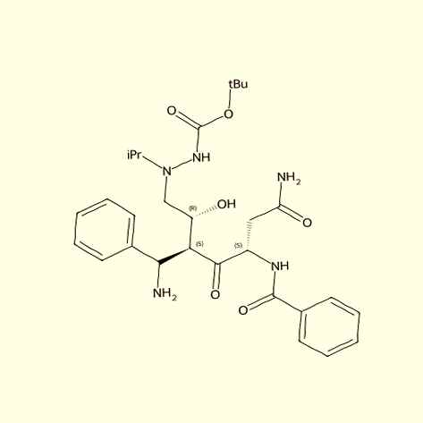 CC(C)N(C[C@H](O)[C@@H](C(=O)[C@H](CC(N)=O)NC(=O)c1ccccc1)C(N)c1ccccc1)NC(=O)OC(C)(C)C